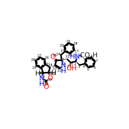 O=C(O)N[C@@H](Cc1ccccc1)[C@@H](O)C[C@]1(Cc2ccccc2)NC=C([C@H]2c3ccccc3[C@H]3NC(=O)O[C@H]32)C1=O